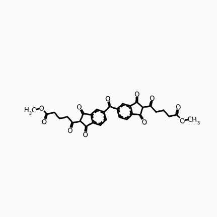 COC(=O)CCCC(=O)C1C(=O)c2ccc(C(=O)c3ccc4c(c3)C(=O)C(C(=O)CCCC(=O)OC)C4=O)cc2C1=O